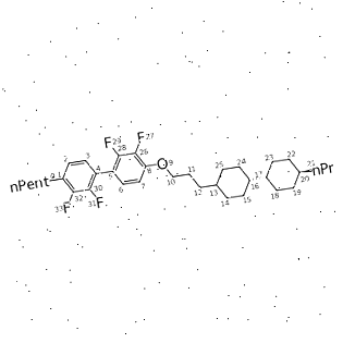 CCCCCc1ccc(-c2ccc(OCCCC3CCC([C@H]4CC[C@H](CCC)CC4)CC3)c(F)c2F)c(F)c1F